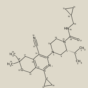 CC(C)[C@@H]1CN(c2nc(C3CC3)c3c(c2C#N)CC(C)(C)OC3)CCN1C(=O)NCC1CC1